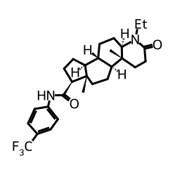 CCN1C(=O)CC[C@]2(C)[C@H]3CC[C@]4(C)[C@@H](C(=O)Nc5ccc(C(F)(F)F)cc5)CC[C@H]4[C@@H]3CC[C@@H]12